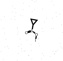 O=S(OI)C1CC1